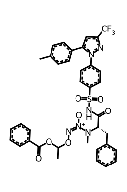 Cc1ccc(-c2cc(C(F)(F)F)nn2-c2ccc(S(=O)(=O)NC(=O)[C@H](Cc3ccccc3)N(C)/[N+]([O-])=N\OC(C)OC(=O)c3ccccc3)cc2)cc1